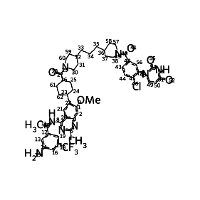 COc1cc2nc(C)nc(N[C@H](C)c3cc(N)cc(C(F)(F)F)c3)c2cc1C1CCC(C(=O)N2CCC(CCCC3CCN(C(=O)c4ccc(Cl)c(-n5ccc(=O)[nH]c5=O)c4)CC3)CC2)CC1